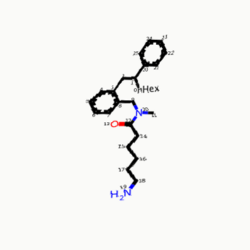 CCCCCCC(Cc1ccccc1CN(C)C(=O)CCCCCN)c1ccccc1